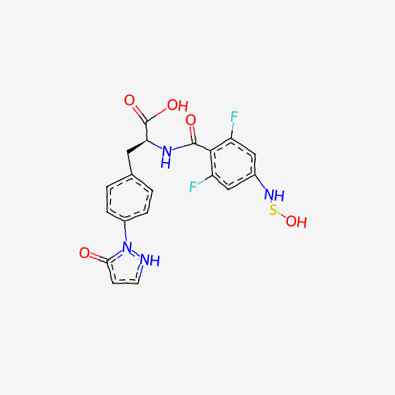 O=C(N[C@@H](Cc1ccc(-n2[nH]ccc2=O)cc1)C(=O)O)c1c(F)cc(NSO)cc1F